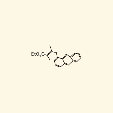 CCOC(=O)C(C)=C(C)Cc1cccc2cc3ccccc3cc12